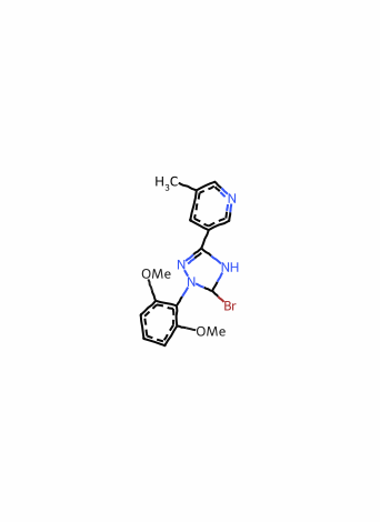 COc1cccc(OC)c1N1N=C(c2cncc(C)c2)NC1Br